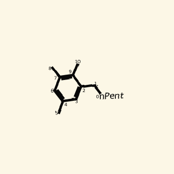 CCCCC[CH]c1cc(C)cc(C)c1C